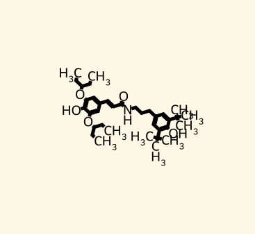 CCC(CC)Oc1cc(C=CC(=O)NCCCc2cc(C(C)(C)C)c(O)c(C(C)(C)C)c2)cc(OC(CC)CC)c1O